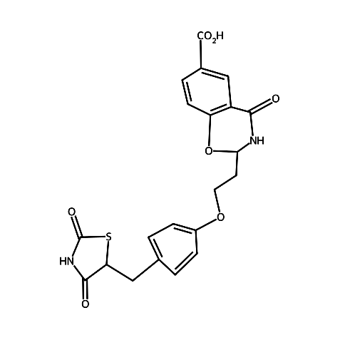 O=C1NC(=O)C(Cc2ccc(OCCC3NC(=O)c4cc(C(=O)O)ccc4O3)cc2)S1